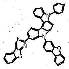 c1ccc(-n2c3ccccc3c3c4c5ccc(-c6ncc7c(n6)sc6ccccc67)cc5n(-c5ccc6c(c5)oc5ccccc56)c4ccc32)cc1